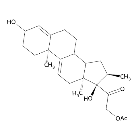 CC(=O)OCC(=O)[C@@]1(O)[C@H](C)CC2C3CCC4=CC(O)CC[C@]4(C)C3=CC[C@@]21C